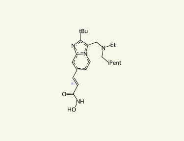 CCCC(C)CN(CC)Cc1c(C(C)(C)C)nc2cc(/C=C/C(=O)NO)ccn12